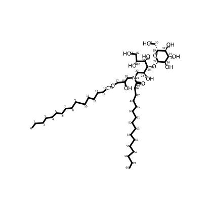 CCCCCCCCCCCCCCCCOCC(O)CN(C[C@H](O)[C@@H](O[C@@H]1O[C@H](CO)[C@@H](O)[C@H](O)[C@H]1O)[C@H](O)[C@H](O)CO)C(=O)CCCCCCCCCCCCCCC